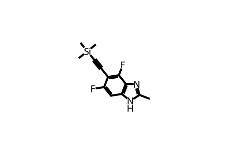 Cc1nc2c(F)c(C#C[Si](C)(C)C)c(F)cc2[nH]1